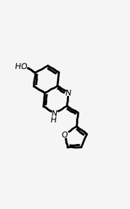 Oc1ccc2c(c1)=CNC(=Cc1ccco1)N=2